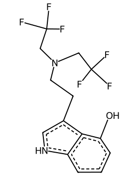 Oc1cccc2[nH]cc(CCN(CC(F)(F)F)CC(F)(F)F)c12